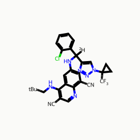 [2H]C(Nc1cc(C#N)c2ncc(C#N)c(NCC(C)(C)C)c2c1)(c1cn(C2(C(F)(F)F)CC2)nn1)c1ccccc1Cl